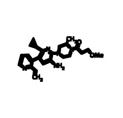 C=Cc1ncccc1-c1cc(N)c(N2CCN(C(=O)CCOC)[C@H](C)C2)nc1C1CC1